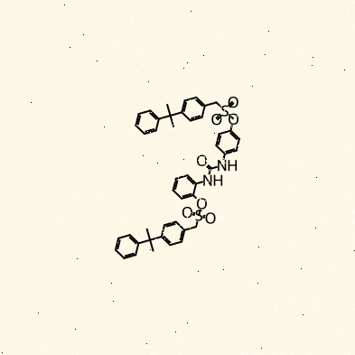 CC(C)(c1ccccc1)c1ccc(CS(=O)(=O)Oc2ccc(NC(=O)Nc3ccccc3OS(=O)(=O)Cc3ccc(C(C)(C)c4ccccc4)cc3)cc2)cc1